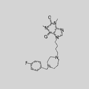 Cn1c(=O)c2c(ncn2CCCCN2CCCN(Cc3ccc(F)cc3)CC2)n(C)c1=O